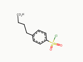 O=C(O)CCCc1ccc(S(=O)(=O)Cl)cc1